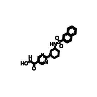 O=C(NO)c1cnc(N2CCCC(NS(=O)(=O)c3ccc4ccccc4c3)C2)nc1